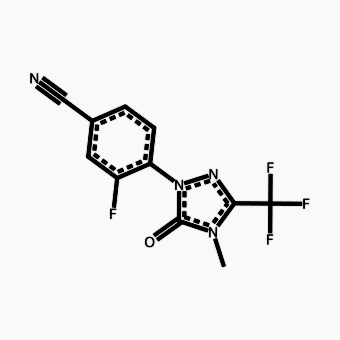 Cn1c(C(F)(F)F)nn(-c2ccc(C#N)cc2F)c1=O